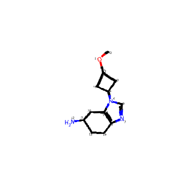 COC1CC(n2cnc3c2CC(N)CC3)C1